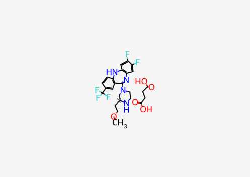 COCC[C@H]1CN(C2=Nc3cc(F)c(F)cc3Nc3ccc(C(F)(F)F)cc32)CCN1.O=C(O)CCC(=O)O